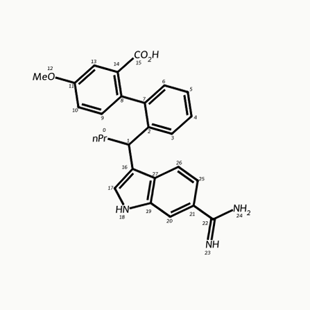 CCCC(c1ccccc1-c1ccc(OC)cc1C(=O)O)c1c[nH]c2cc(C(=N)N)ccc12